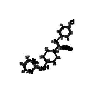 CS/C(=N\c1ccc(Cl)cc1)N1CCC(Nc2ncccn2)CC1